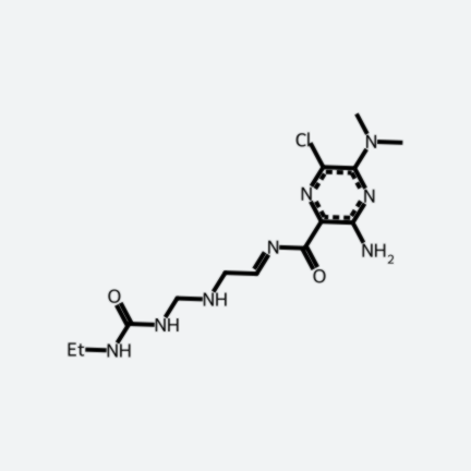 CCNC(=O)NCNCC=NC(=O)c1nc(Cl)c(N(C)C)nc1N